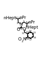 CCCCCCCC(CCC)CN(CC(CCC)CCCCCCC)C(=O)OCc1ccccc1[N+](=O)[O-]